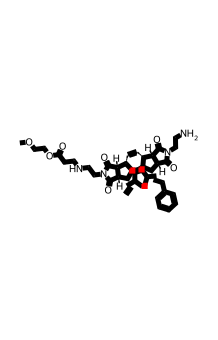 C=C[C@H]1C(=CC(C)C)[C@@H](/C=C\[C@H]2C(=CC(C)C)[C@@H](CCc3ccccc3)[C@@H]3C(=O)N(CCN)C(=O)[C@@H]32)[C@@H]2C(=O)N(CCNCCC(=O)OCCOC)C(=O)[C@@H]21